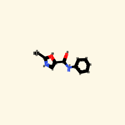 Cc1ncc(C(=O)Nc2ccccc2)o1